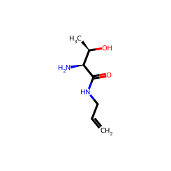 C=CCNC(=O)[C@@H](N)[C@@H](C)O